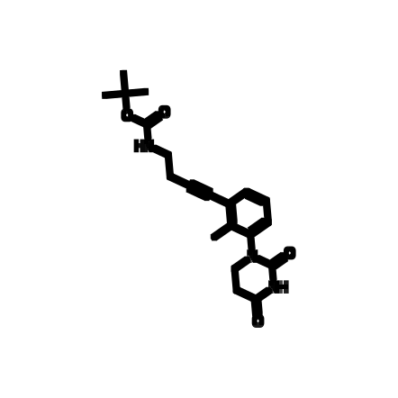 Cc1c(C#CCCNC(=O)OC(C)(C)C)cccc1N1CCC(=O)NC1=O